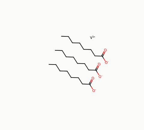 CCCCCCCC(=O)[O-].CCCCCCCC(=O)[O-].CCCCCCCC(=O)[O-].[V+3]